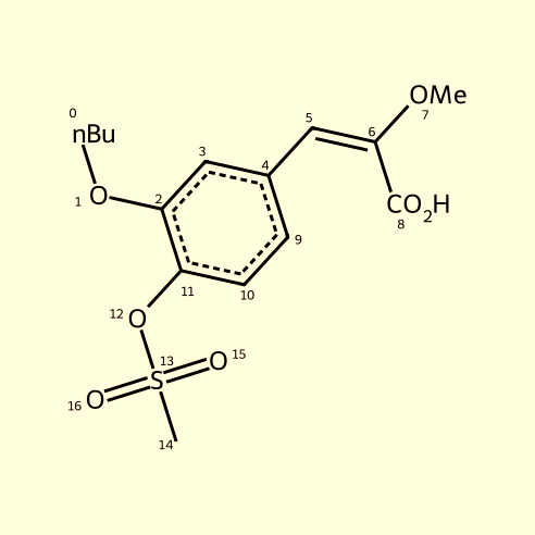 CCCCOc1cc(/C=C(/OC)C(=O)O)ccc1OS(C)(=O)=O